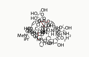 CN[C@H](CC(C)C)C(=O)N[C@@H]1C(=O)NC(CC(N)=O)C(=O)NC2C(=O)NC3C(=O)N[C@H](C(=O)NC(C(=O)O)c4cc(O)cc(O)c4-c4cc3ccc4O)[C@H](OC3CC(C)(N)C(O)C(C)O3)c3ccc(c(Cl)c3)Oc3cc2cc(c3OC2OC(CO)C(O)C(O)C2OC2CC(C)(NCC(OCc3ccc(-c4ccccc4Cl)cc3)C(=O)O)C(O)C(C)O2)Oc2ccc(cc2Cl)C1O